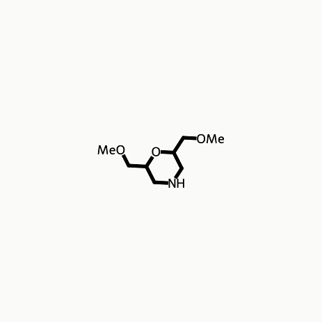 COCC1CNCC(COC)O1